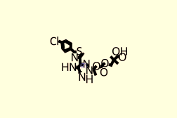 CC(N/N=C(\C(=N)C#N)c1csc(-c2ccc(Cl)cc2)n1)OC(=O)OCC(C)(C)C(=O)O